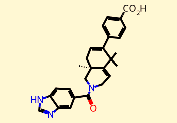 CC1(C)C(c2ccc(C(=O)O)cc2)=CC[C@]2(C)CN(C(=O)c3ccc4[nH]cnc4c3)CC=C12